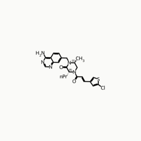 CCC[C@@H]1C(=O)N(Cc2ccc3c(N)ncnc3c2)[C@@H](C)CN1C(=O)C=Cc1csc(Cl)c1